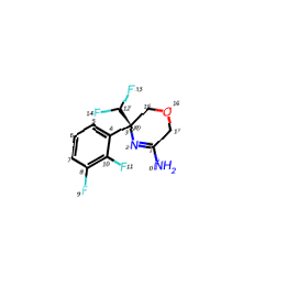 NC1=N[C@@](c2cccc(F)c2F)(C(F)F)COC1